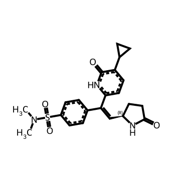 CN(C)S(=O)(=O)c1ccc(C(=C[C@H]2CCC(=O)N2)c2ccc(C3CC3)c(=O)[nH]2)cc1